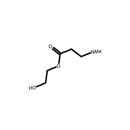 CNCCC(=O)OCCO